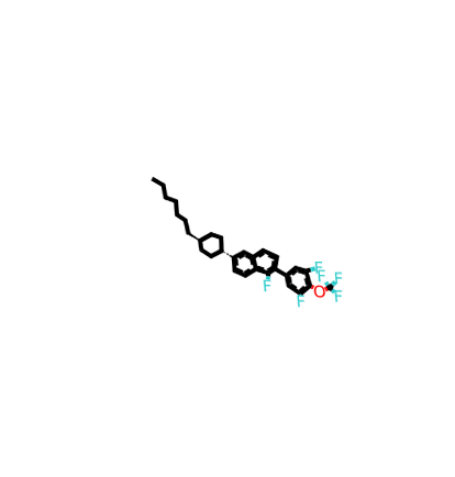 CCCCCCC[C@H]1CC[C@H](c2ccc3c(F)c(-c4cc(F)c(OC(F)(F)F)c(F)c4)ccc3c2)CC1